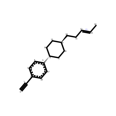 C#Cc1ccc([C@H]2CC[C@H](CC/C=C/C)CC2)cc1